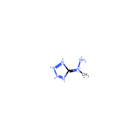 C[N+](N)=C1N=NN=N1